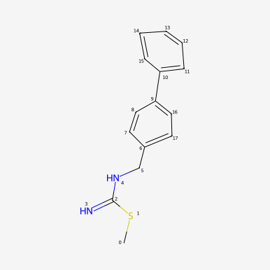 CSC(=N)NCc1ccc(-c2ccccc2)cc1